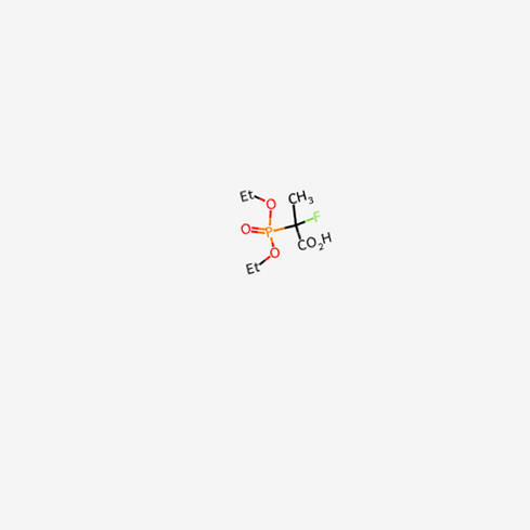 CCOP(=O)(OCC)C(C)(F)C(=O)O